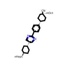 CCCCCCCC[C@]1(C#N)CC[C@H](c2ccc(-c3ncc([C@H]4CC[C@H](CCCCCCC)CC4)cn3)cc2)CC1